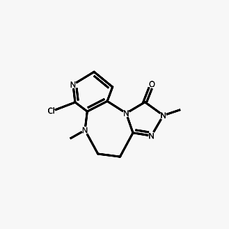 CN1CCc2nn(C)c(=O)n2-c2ccnc(Cl)c21